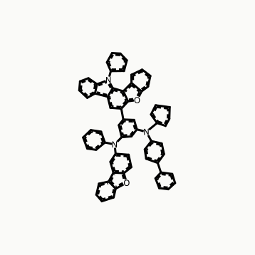 c1ccc(-c2ccc(N(c3ccccc3)c3cc(-c4cc5c6ccccc6n(-c6ccccc6)c5c5c4oc4ccccc45)cc(N(c4ccccc4)c4ccc5oc6ccccc6c5c4)c3)cc2)cc1